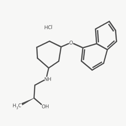 C[C@H](O)CNC1CCCC(Oc2cccc3ccccc23)C1.Cl